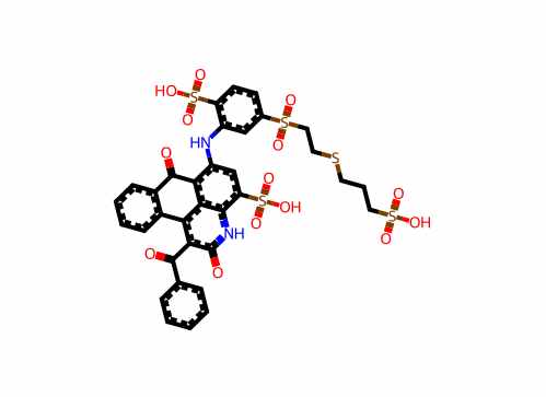 O=C(c1ccccc1)c1c2c3c(c(Nc4cc(S(=O)(=O)CCSCCCS(=O)(=O)O)ccc4S(=O)(=O)O)cc(S(=O)(=O)O)c3[nH]c1=O)C(=O)c1ccccc1-2